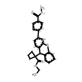 CCOC(=O)C1(C2c3ccccc3Oc3nc(-c4ccc(C(=O)OC)cc4)ccc32)CCC1